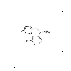 C/C=C(\N=C(/C)CC)C(Cc1ccc(C)cc1)NC